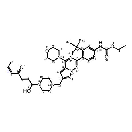 C/C=C\C(=O)CCC(O)N1CCN(Cc2cc3c(N4CCOCC4)nc(-c4cnc(NC(=O)OCC)cc4C(F)(F)F)nn3c2)CC1